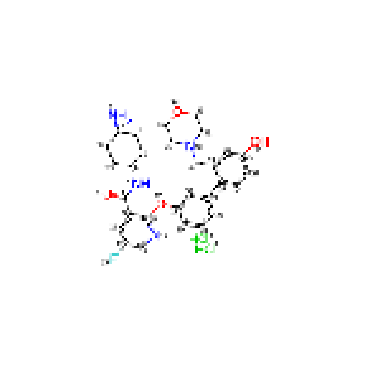 Cl.Cl.N[C@H]1CC[C@H](NC(=O)c2cc(F)cnc2Oc2cccc(-c3ccc(O)cc3CN3CCOCC3)c2)CC1